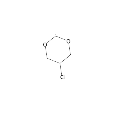 ClC1CO[CH]OC1